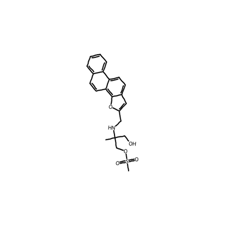 CC(CO)(COS(C)(=O)=O)NCc1cc2ccc3c4ccccc4ccc3c2o1